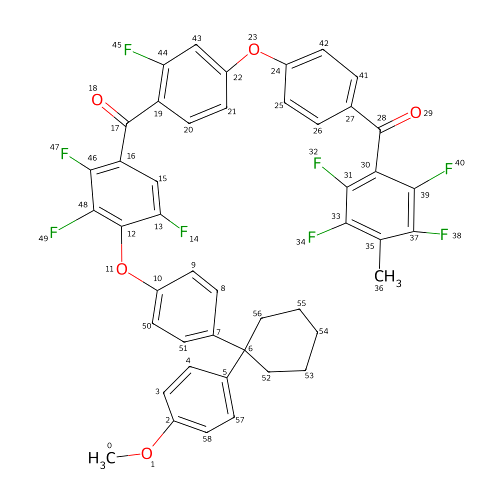 COc1ccc(C2(c3ccc(Oc4c(F)cc(C(=O)c5ccc(Oc6ccc(C(=O)c7c(F)c(F)c(C)c(F)c7F)cc6)cc5F)c(F)c4F)cc3)CCCCC2)cc1